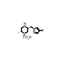 C[C@@H]1CN[C@@H](Cn2cc(F)cn2)CN1C(=O)O